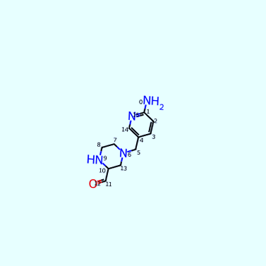 Nc1ccc(CN2CCNC(C=O)C2)cn1